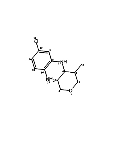 CC1COCCC1Nc1cc(Cl)ccc1N